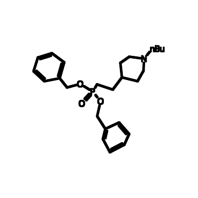 CCCCN1CCC(CCP(=O)(OCc2ccccc2)OCc2ccccc2)CC1